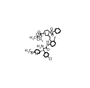 COc1ccc([C@H](c2ccc(Cl)cc2)[C@H](N)C(=O)Nc2cccc(F)c2CCC2CN(C(=O)OC(C)(C)C)CCN2S(=O)(=O)c2ccccc2)cn1